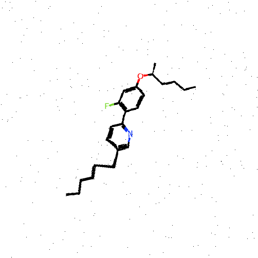 CCCCCCc1ccc(-c2ccc(O[C@@H](C)CCCC)cc2F)nc1